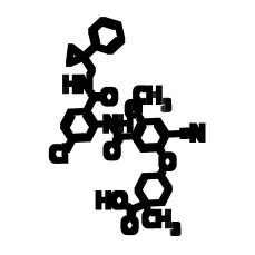 COc1cc(C#N)c(OC2CCC(C)(C(=O)O)CC2)cc1C(=O)Nc1cc(Cl)ccc1C(=O)NCC1(c2ccccc2)CC1